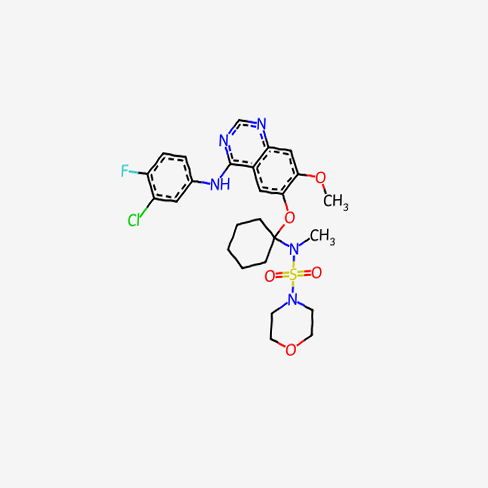 COc1cc2ncnc(Nc3ccc(F)c(Cl)c3)c2cc1OC1(N(C)S(=O)(=O)N2CCOCC2)CCCCC1